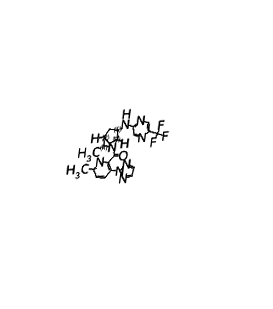 Cc1ccc(-n2nccn2)c(C(=O)N2[C@H](C)[C@@H]3C[C@H](Nc4cnc(C(F)(F)F)cn4)[C@H]2C3)n1